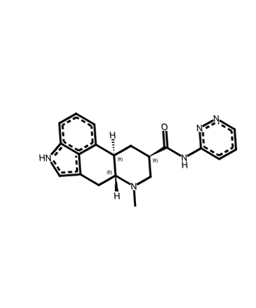 CN1C[C@H](C(=O)Nc2cccnn2)C[C@@H]2c3cccc4[nH]cc(c34)C[C@H]21